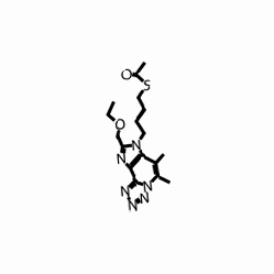 CCOCc1nc2c(c(C)c(C)n3nnnc23)n1CCCCSC(C)=O